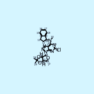 [CH2][C@H]1O[C@@H](n2nnc3c(N(C)[C@H]4CCc5ccccc54)nc(Cl)nc32)[C@@H]2OC(C)(C)O[C@@H]21